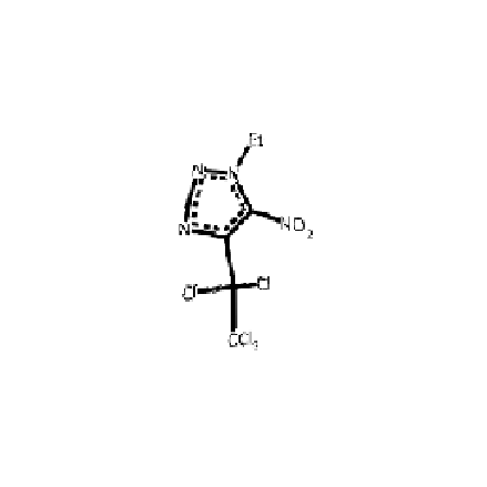 CCn1nnc(C(Cl)(Cl)C(Cl)(Cl)Cl)c1[N+](=O)[O-]